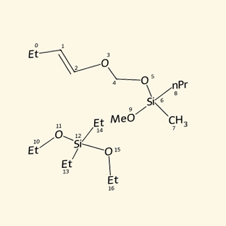 CCC=COCO[Si](C)(CCC)OC.CCO[Si](CC)(CC)OCC